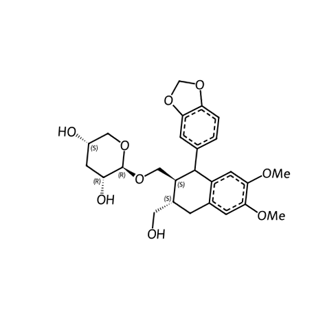 COc1cc2c(cc1OC)C(c1ccc3c(c1)OCO3)[C@H](CO[C@@H]1OC[C@@H](O)C[C@H]1O)[C@@H](CO)C2